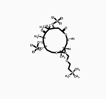 CC[Si](CC)(CC)O[C@H]1[C@@H](C)CCC[C@]2(C)[C@H](C[C@@H](C(C)=O)OC(=O)C[C@H](O[Si](CC)(CC)CC)C(C)(C)C(=O)[C@@H]1C)N2COCC[Si](C)(C)C